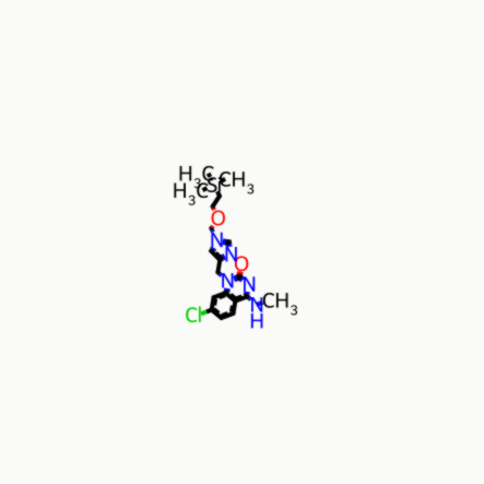 CNc1nc(=O)n(Cc2cn(COCC[Si](C)(C)C)cn2)c2cc(Cl)ccc12